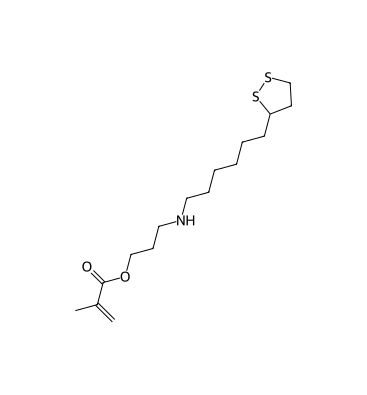 C=C(C)C(=O)OCCCNCCCCCCC1CCSS1